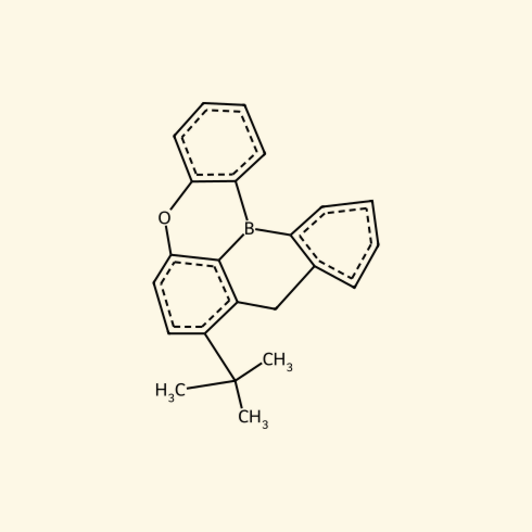 CC(C)(C)c1ccc2c3c1Cc1ccccc1B3c1ccccc1O2